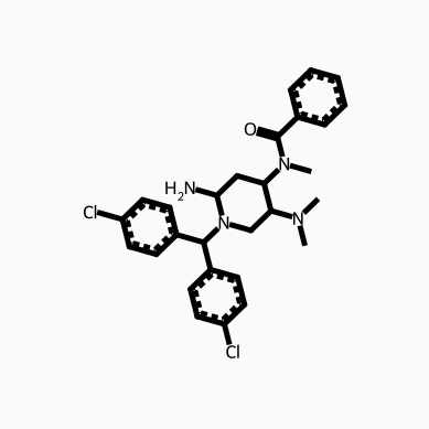 CN(C)C1CN(C(c2ccc(Cl)cc2)c2ccc(Cl)cc2)C(N)CC1N(C)C(=O)c1ccccc1